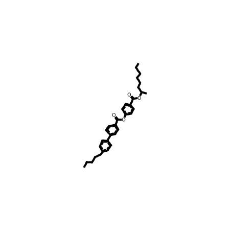 CCCCCCC(C)OC(=O)c1ccc(OC(=O)c2ccc(-c3ccc(CCCCC)cc3)cc2)cc1